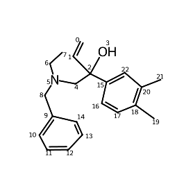 C=CC(O)(CN(CC)Cc1ccccc1)c1ccc(C)c(C)c1